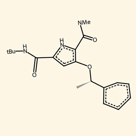 CNC(=O)c1[nH]c(C(=O)NC(C)(C)C)cc1O[C@@H](C)c1ccccc1